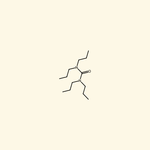 CCCN(CCC)C(=O)N(CCC)CCC